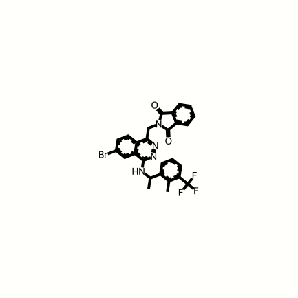 Cc1c(C(C)Nc2nnc(CN3C(=O)c4ccccc4C3=O)c3ccc(Br)cc23)cccc1C(F)(F)F